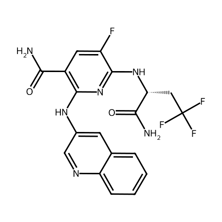 NC(=O)c1cc(F)c(N[C@H](CC(F)(F)F)C(N)=O)nc1Nc1cnc2ccccc2c1